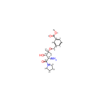 COC(=O)c1cccc(COC(C)(C)C(O)C(N)C(=O)N2CCCC2)c1